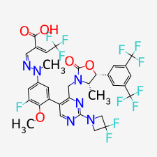 COc1c(F)cc(N(C)/N=C\C(=C\C(F)(F)F)C(=O)O)cc1-c1cnc(N2CC(F)(F)C2)nc1CN1C(=O)O[C@H](c2cc(C(F)(F)F)cc(C(F)(F)F)c2)[C@@H]1C